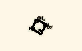 C1=Cc2cc3ccc(cc4nc(cc5ccc(cc1n2)[nH]5)C=C4)[nH]3.O.[Co]